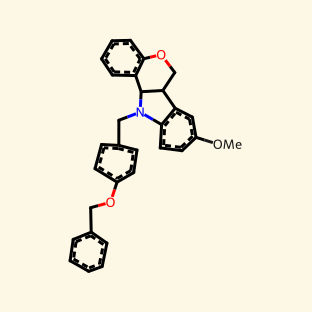 COc1ccc2c(c1)C1COc3ccccc3C1N2Cc1ccc(OCc2ccccc2)cc1